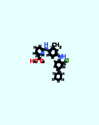 Cc1cc(Nc2ccc(C3CCCCC3)cc2Cl)ccc1Nc1cccc(C(=O)O)n1